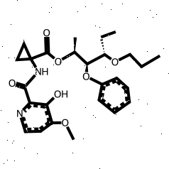 CCCO[C@@H](CC)[C@@H](Oc1ccccc1)[C@H](C)OC(=O)C1(NC(=O)c2nccc(OC)c2O)CC1